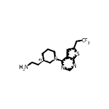 NCC[C@H]1CCCN(c2ncnc3sc(CC(F)(F)F)cc23)C1